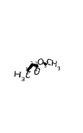 C/C=C\C(=O)OCC